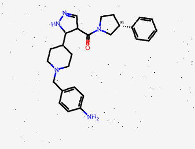 Nc1ccc(CN2CCC(C3NN=CC3C(=O)N3CC[C@H](c4ccccc4)C3)CC2)cc1